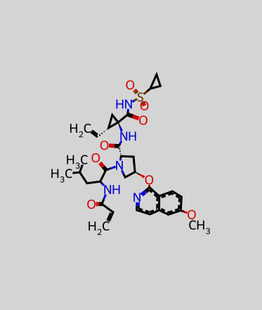 C=CC(=O)NC(CC(C)C)C(=O)N1C[C@H](Oc2nccc3cc(OC)ccc23)C[C@H]1C(=O)N[C@]1(C(=O)NS(=O)(=O)C2CC2)C[C@H]1C=C